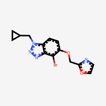 Brc1c(OCc2ncco2)ccc2c1nnn2CC1CC1